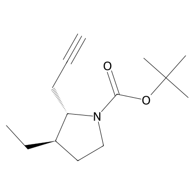 C#CC[C@H]1[C@H](CC)CCN1C(=O)OC(C)(C)C